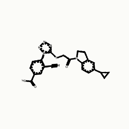 N#Cc1cc(C(=O)O)ccc1-n1nnnc1SCC(=O)N1CCc2cc(C3CC3)ccc21